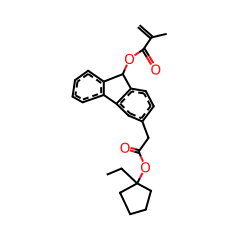 C=C(C)C(=O)OC1c2ccccc2-c2cc(CC(=O)OC3(CC)CCCC3)ccc21